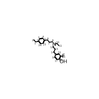 CCc1ccc(CCCN(CC)CCCc2ccc(O)c(F)c2)cc1